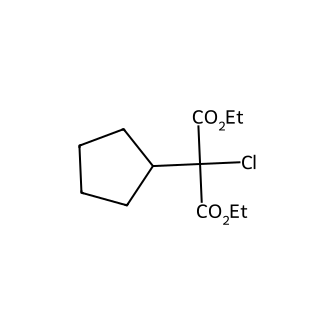 CCOC(=O)C(Cl)(C(=O)OCC)C1CCCC1